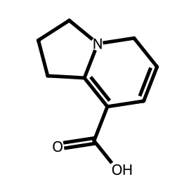 O=C(O)C1=C2CCCN2CC=C1